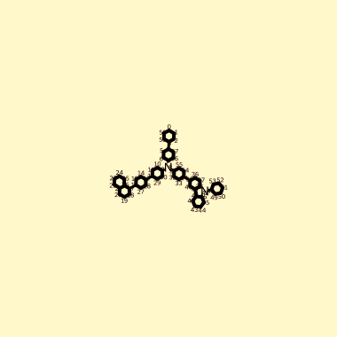 c1ccc(-c2ccc(N(c3ccc(-c4ccc(-c5cccc6ccccc56)cc4)cc3)c3ccc(-c4ccc5c(c4)c4ccccc4n5-c4ccccc4)cc3)cc2)cc1